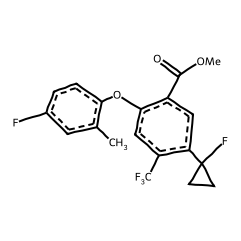 COC(=O)c1cc(C2(F)CC2)c(C(F)(F)F)cc1Oc1ccc(F)cc1C